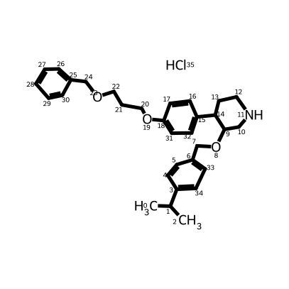 CC(C)c1ccc(COC2CNCCC2c2ccc(OCCCOCc3ccccc3)cc2)cc1.Cl